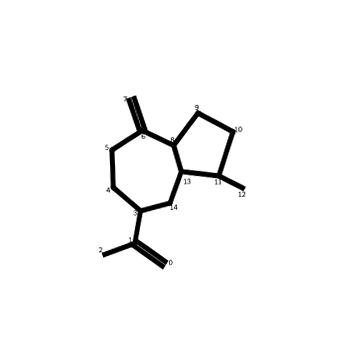 C=C(C)C1CCC(=C)C2CCC(C)C2C1